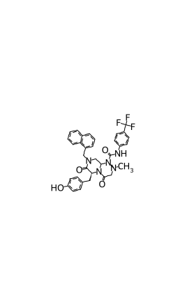 CN1CC(=O)N2C(CN(Cc3cccc4ccccc34)C(=O)[C@@H]2Cc2ccc(O)cc2)N1C(=O)Nc1ccc(C(F)(F)F)cc1